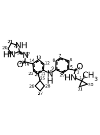 CC1(NC(=O)c2cccc(Nc3ccc(C(=O)N=C4NCCN4)cc3C3CCC3)c2)CC1